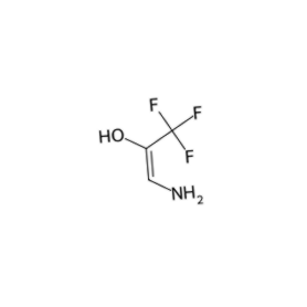 N/C=C(/O)C(F)(F)F